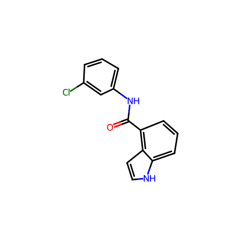 O=C(Nc1cccc(Cl)c1)c1cccc2[nH]ccc12